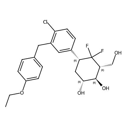 CCOc1ccc(Cc2cc([C@H]3C[C@@H](O)[C@H](O)[C@@H](CO)C3(F)F)ccc2Cl)cc1